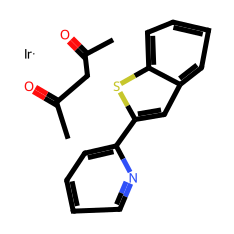 CC(=O)CC(C)=O.[Ir].c1ccc(-c2cc3ccccc3s2)nc1